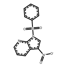 O=[N+]([O-])c1cn(S(=O)(=O)c2ccccc2)c2ncccc12